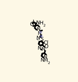 C=N/C(=C\N=C(/C)N1CCC2(CC1)CO[C@@H](C)[C@H]2N)Sc1ccc2ncn(Cc3ccc(N)nc3)c(=O)c2c1Cl